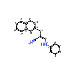 N#CC(=CNc1ccccc1)Cc1ccc2ccccc2c1